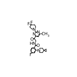 Cc1cc(C(=O)CNC(=O)c2ccc(I)cc2N2CCC3(CC2)CC3)nc(N2CCC(F)(F)CC2)n1